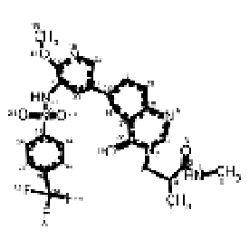 CNC(=O)C(C)Cn1cnc2ccc(-c3cnc(OC)c(NS(=O)(=O)c4ccc(C(F)(F)F)cc4)c3)cc2c1=O